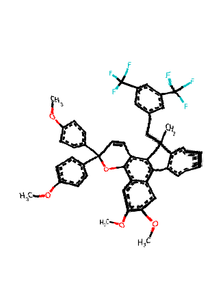 COc1ccc(C2(c3ccc(OC)cc3)C=Cc3c4c(c5cc(OC)c(OC)cc5c3O2)-c2ccccc2C4(C)Cc2cc(C(F)(F)F)cc(C(F)(F)F)c2)cc1